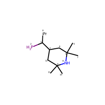 CC(C)C(P)C1CC(C)(C)NC(C)(C)C1